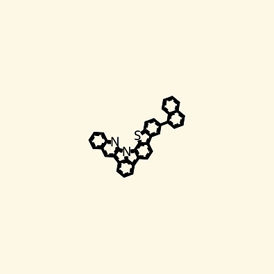 c1ccc2nc3c(cc2c1)c1cccc2c4ccc5c6cc(-c7cccc8ccccc78)ccc6sc5c4n3c12